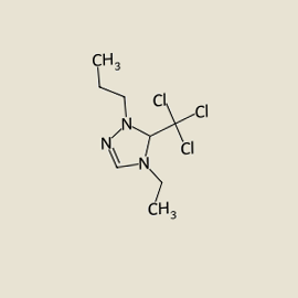 CCCN1N=CN(CC)C1C(Cl)(Cl)Cl